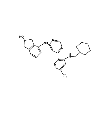 OC1Cc2cccc(Nc3cc(-c4ccc(C(F)(F)F)cc4NCC4CCCCC4)ncn3)c2C1